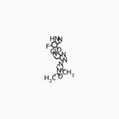 C=CC(=O)N1CCN(c2ncnc3c(Oc4c(Cl)c(F)cc5[nH]ncc45)nccc23)C[C@@H]1C